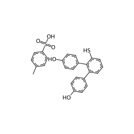 Cc1ccc(S(=O)(=O)O)cc1.Oc1ccc(-c2cccc(S)c2-c2ccc(O)cc2)cc1